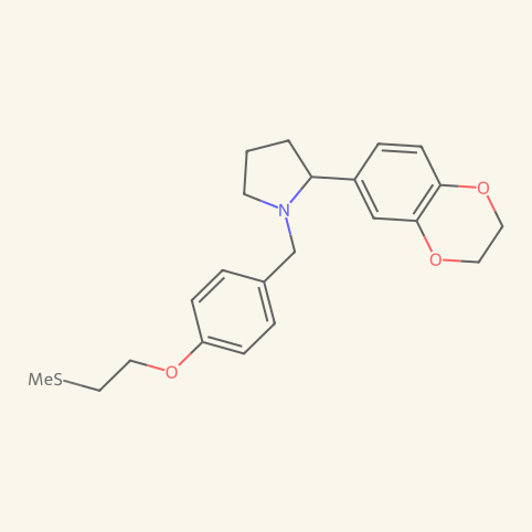 CSCCOc1ccc(CN2CCCC2c2ccc3c(c2)OCCO3)cc1